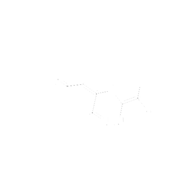 C=C/C=C(\C=C)OC(O)=C(O)O